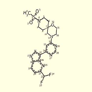 CS(=O)(=O)N1CCC2(CC1)CN(c1cc(-c3cnc4ccc(C(F)F)nn34)ncn1)CCO2